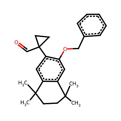 CC1(C)CCC(C)(C)c2cc(C3(C=O)CC3)c(OCc3ccccc3)cc21